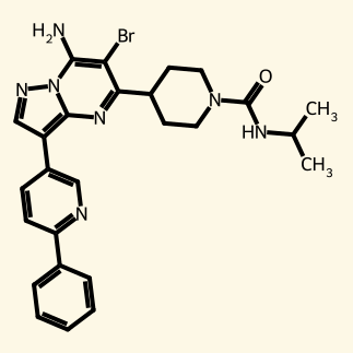 CC(C)NC(=O)N1CCC(c2nc3c(-c4ccc(-c5ccccc5)nc4)cnn3c(N)c2Br)CC1